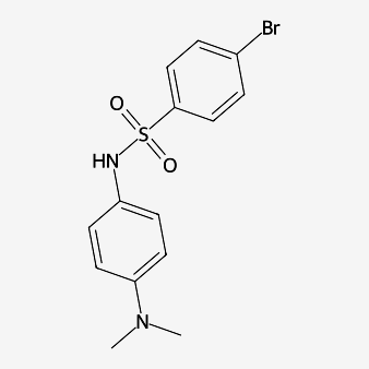 CN(C)c1ccc(NS(=O)(=O)c2ccc(Br)cc2)cc1